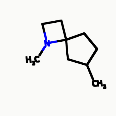 CC1CCC2(CCN2C)C1